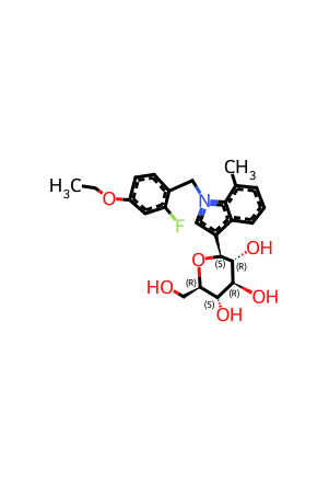 CCOc1ccc(Cn2cc([C@@H]3O[C@H](CO)[C@@H](O)[C@H](O)[C@H]3O)c3cccc(C)c32)c(F)c1